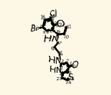 O=c1cc(NCCCNC2CCOc3c(Cl)cc(Br)cc32)[nH]c2ccsc12